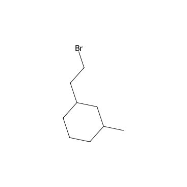 CC1CCCC(CCBr)C1